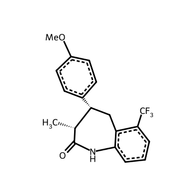 COc1ccc([C@@H]2Cc3c(cccc3C(F)(F)F)NC(=O)[C@@H]2C)cc1